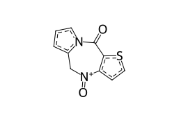 O=C1c2sccc2[N+](=O)Cc2cccn21